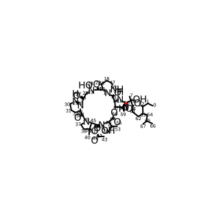 CCC1OC(O)(C(C)(O)C(=O)NC2C(=O)N3NCCCC3C(=O)N(O)CC(=O)N3NCCCC3C(=O)N3CCC(C)(OC(C)=O)C3C(=O)N(O)C(C(C)C)C(=O)OC2C(C)C)CCC1CC(C)C